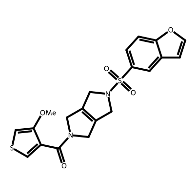 COc1cscc1C(=O)N1CC2=C(C1)CN(S(=O)(=O)c1ccc3occc3c1)C2